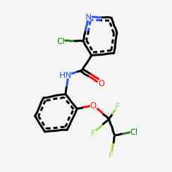 O=C(Nc1ccccc1OC(F)(F)C(F)Cl)c1cccnc1Cl